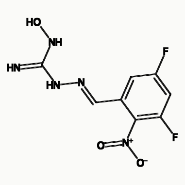 N=C(NO)NN=Cc1cc(F)cc(F)c1[N+](=O)[O-]